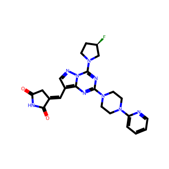 O=C1C/C(=C\c2cnn3c(N4CC[C@@H](F)C4)nc(N4CCN(c5ccccn5)CC4)nc23)C(=O)N1